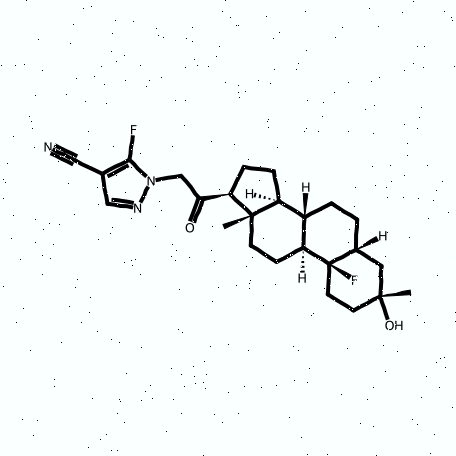 C[C@@]1(O)CC[C@@]2(F)[C@H](CC[C@H]3[C@@H]4CC[C@H](C(=O)Cn5ncc(C#N)c5F)[C@@]4(C)CC[C@@H]32)C1